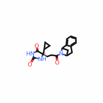 O=C1NC(=O)[C@](CCC(=O)N2C3Cc4ccccc4C2C3)(C2CC2)N1